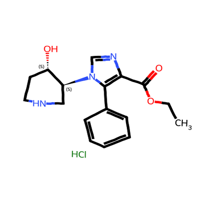 CCOC(=O)c1ncn([C@H]2CNCC[C@@H]2O)c1-c1ccccc1.Cl